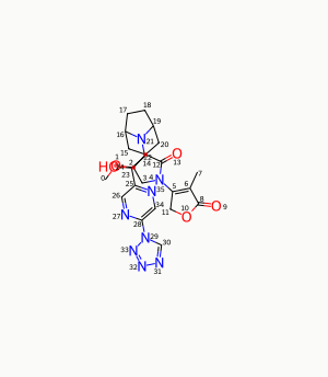 COC1CN(C2=C(C)C(=O)OC2)C(=O)C12CC1CCC(C2)N1CC(O)c1cnc(-n2cnnn2)cn1